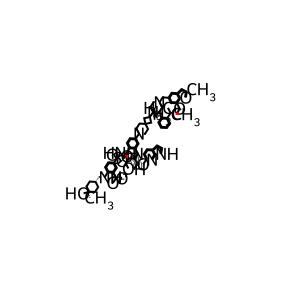 COc1cc(CN2CCN(C3CC4(CCN(c5ccc(C(=O)NS(=O)(=O)c6ccc(NC[C@H]7CC[C@](C)(O)CC7)c([N+](=O)[O-])c6)c(N6c7cc8cc[nH]c8nc7O[C@H]7COCC[C@@H]76)c5)CC4)C3)[C@H](c3ccccc3C(C)C)C2)cc2cc(C)oc12